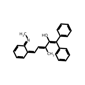 C\N=C1/C=CC=C/C1=C/C=C(\C)C(O)=C(c1ccccc1)c1ccccc1